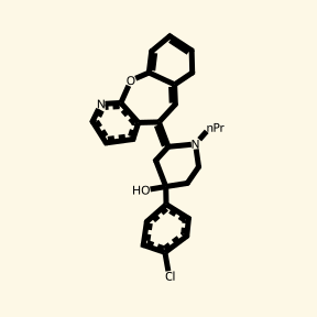 CCCN1CCC(O)(c2ccc(Cl)cc2)CC1=C1C=C2CC=CC=C2Oc2ncccc21